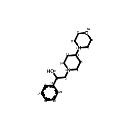 OC(CN1CCC(N2CCOCC2)CC1)c1ccccc1